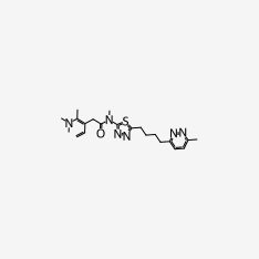 C=C/C(CC(=O)N(C)c1nnc(CCCCc2ccc(C)nn2)s1)=C(/C)N(C)C